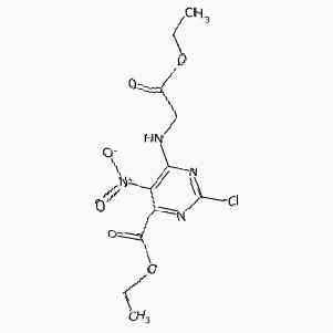 CCOC(=O)CNc1nc(Cl)nc(C(=O)OCC)c1[N+](=O)[O-]